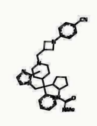 CNC(=O)NC1CCCC1C(Cn1ccnc1C)(c1ccccc1)C1CCN(CC2CN(c3ccc(C#N)cc3)C2)CC1